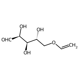 C=COC[C@@H](O)[C@@H](O)[C@H](O)C=O